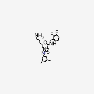 Cc1cc(C)cc(/N=c2\scc(C(=O)NCc3cccc(F)c3F)n2CCCCCN)c1